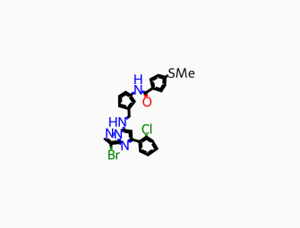 CSc1ccc(C(=O)Nc2cccc(CNc3cc(-c4ccccc4Cl)nc4c(Br)cnn34)c2)cc1